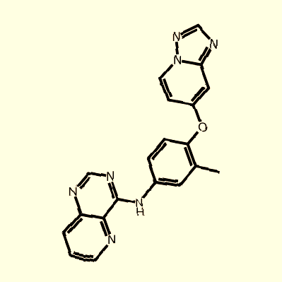 Cc1cc(Nc2ncnc3cccnc23)ccc1Oc1ccn2ncnc2c1